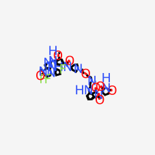 COc1cc(C(=O)NC2CCN(CCOCCN(C)CCNc3cccc4c3C(=O)N(C3CCC(=O)NC3=O)C4=O)CC2)c(F)cc1Nc1ncc2c(n1)N(C1CCCC1)CC(F)(F)C(=O)N2C